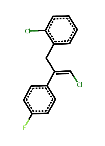 Fc1ccc(/C(=C\Cl)Cc2ccccc2Cl)cc1